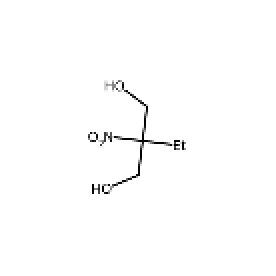 CCC(CO)(CO)[N+](=O)[O-]